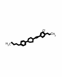 CCCCCc1ccc(C2CCC(C#Cc3ccc(CCC)c(Cl)c3)CC2)cc1